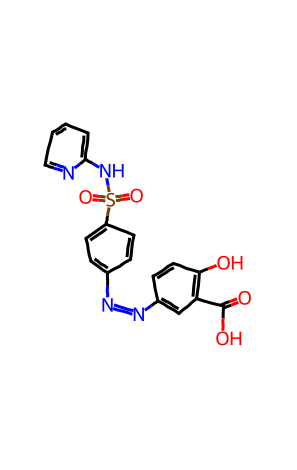 O=C(O)c1cc(/N=N\c2ccc(S(=O)(=O)Nc3ccccn3)cc2)ccc1O